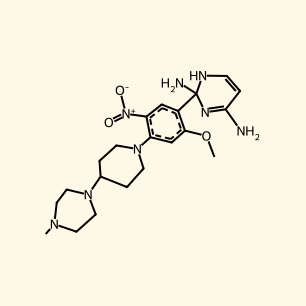 COc1cc(N2CCC(N3CCN(C)CC3)CC2)c([N+](=O)[O-])cc1C1(N)N=C(N)C=CN1